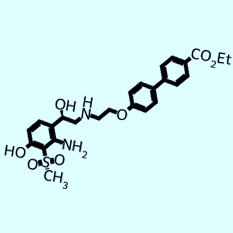 CCOC(=O)c1ccc(-c2ccc(OCCNC[C@H](O)c3ccc(O)c(S(C)(=O)=O)c3N)cc2)cc1